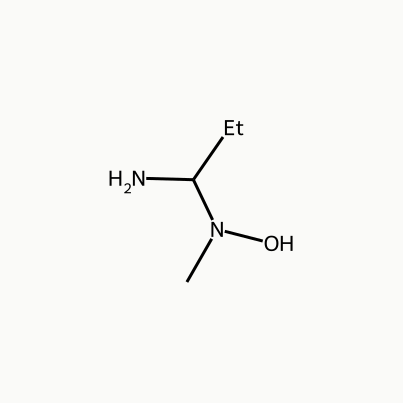 CCC(N)N(C)O